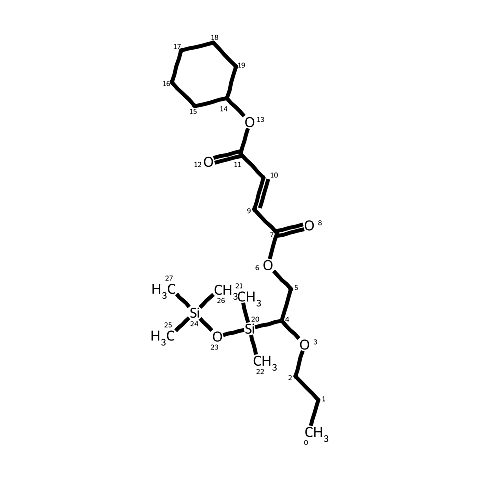 CCCOC(COC(=O)C=CC(=O)OC1CCCCC1)[Si](C)(C)O[Si](C)(C)C